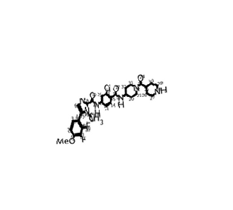 COc1ccc(-c2cnc(C(=O)Nc3ccc(C(=O)NC4CCN(C(=O)C5CCNCC5)CC4)c(Cl)c3)n2C)c(F)c1F